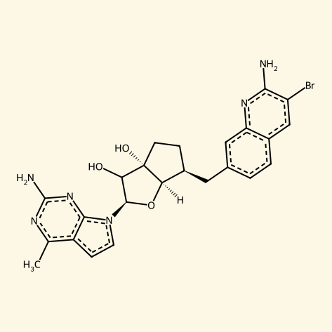 Cc1nc(N)nc2c1ccn2[C@@H]1O[C@@H]2[C@H](Cc3ccc4cc(Br)c(N)nc4c3)CC[C@]2(O)C1O